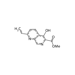 C=Cc1ccc2c(O)c(C(=O)OC)ncc2n1